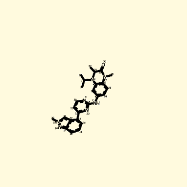 CC(C)N1c2cc(Nc3nccc(-c4cccc5nn(C)cc45)n3)ccc2N(C)C(=O)C1C